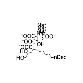 CCCCCCCCCCCCCCCCC(CC(O)CO)C(=O)[O-].O=C([O-])CC(O)(CC(=O)[O-])C(=O)[O-].[Na+].[Na+].[Na+].[Na+]